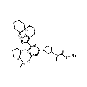 C[C@H](Oc1cc(N2CCC(N(C)C(=O)OC(C)(C)C)C2)nc(-c2noc3c2CCC[C@@]32CCCCC2=O)n1)[C@@H]1CCCN1C